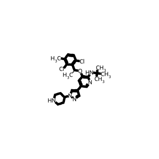 Cc1ccc(Cl)c([C@@H](C)Oc2cc(-c3cnn(C4CCNCC4)c3)cnc2NC(C)(C)C)c1Cl